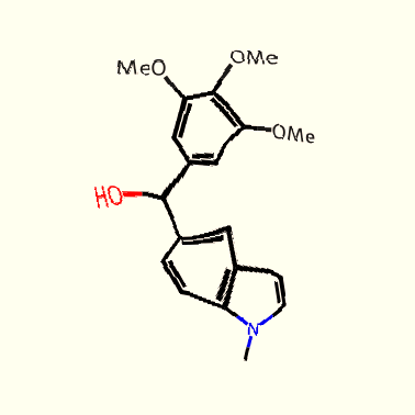 COc1cc(C(O)c2ccc3c(ccn3C)c2)cc(OC)c1OC